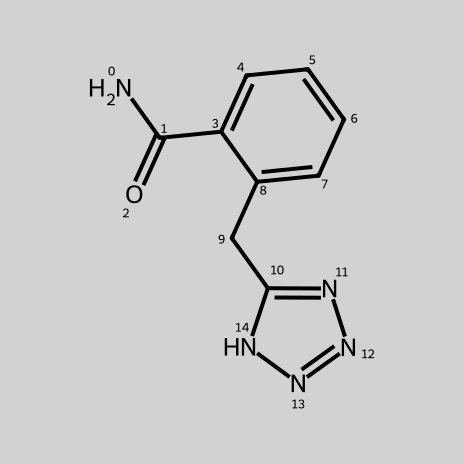 NC(=O)c1ccccc1Cc1nnn[nH]1